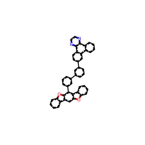 c1cc(-c2cccc(-c3c4oc5ccccc5c4cc4oc5ccccc5c34)c2)cc(-c2ccc3c(c2)c2ccccc2c2nccnc32)c1